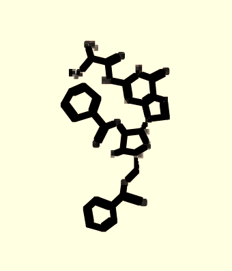 CC(C)C(=O)Nc1nc2c(ncn2[C@@H]2S[C@H](COC(=O)c3ccccc3)C(F)C2OC(=O)c2ccccc2)c(=O)[nH]1